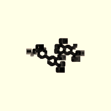 CC1(C)CCC(c2ccc(C(=O)O)c(NC(=O)c3cc(C(O)O)c(F)cc3C(=O)O)c2)CC1